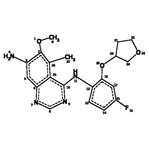 COc1c(N)cc2ncnc(Nc3ccc(F)cc3OC3CCOC3)c2c1C